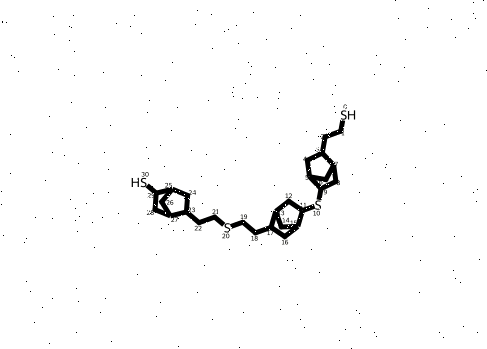 SCCC1CC2CC1CC2SC1CC2CC1CC2CCSCCC1CC2CC1CC2S